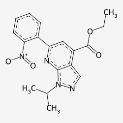 CCOC(=O)c1cc(-c2ccccc2[N+](=O)[O-])nc2c1cnn2C(C)C